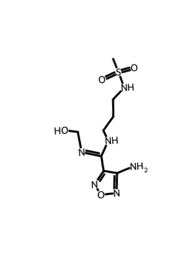 CS(=O)(=O)NCCCN/C(=N\CO)c1nonc1N